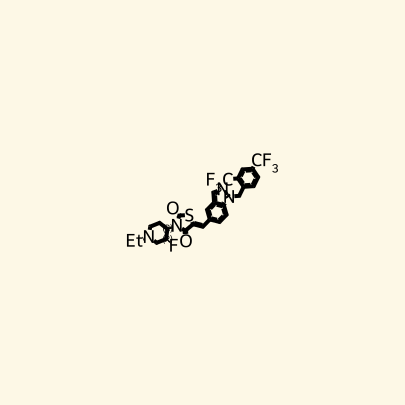 CCN1CC[C@@H](N2C(=O)SC(=Cc3ccc4c(cnn4Cc4ccc(C(F)(F)F)cc4C(F)(F)F)c3)C2=O)[C@H](F)C1